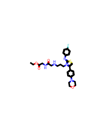 CCOC(=O)CNC(=O)CNCCCn1c(-c2ccc(N3CCOCC3)cc2)cs/c1=N\c1ccc(F)cc1